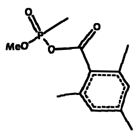 COP(C)(=O)OC(=O)c1c(C)cc(C)cc1C